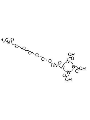 C=NC(=O)CCOCCOCCOCCOCCOCCOCCNC(=O)CN1CCN(CC(=O)O)CCN(CC(=O)O)CCN(CC(=O)O)CC1